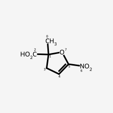 CC1(C(=O)O)CC=C([N+](=O)[O-])O1